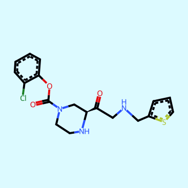 O=C(CNCc1cccs1)[C@@H]1CN(C(=O)Oc2ccccc2Cl)CCN1